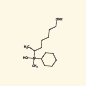 CCCCCCCCCCCCCCCC(C)[N+](C)(O)C1CCCCC1